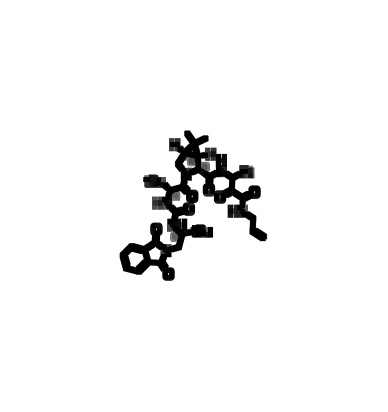 C=CCNC(=O)C(=O)C(CC)NC(=O)[C@@H]1[C@@H]2[C@H](CN1C(=O)[C@@H](NC(=O)N[C@H](CN1C(=O)c3ccccc3C1=O)C(C)(C)C)C(C)(C)C)C2(C)C